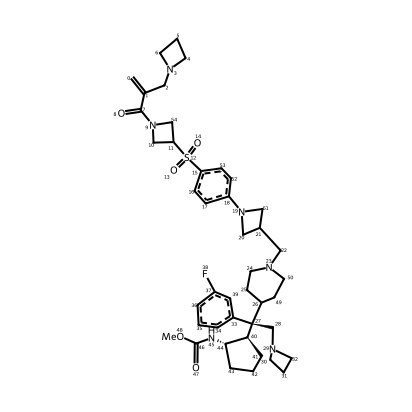 C=C(CN1CCC1)C(=O)N1CC(S(=O)(=O)c2ccc(N3CC(CN4CCC([C@@](CN5CCC5)(c5cccc(F)c5)[C@H]5CCC[C@@H]5NC(=O)OC)CC4)C3)cc2)C1